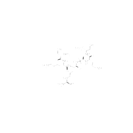 CSCC[C@H](NC(=O)C(C)(C)NC(=O)[C@H](CCCNC(=N)N)NC(=O)[C@H](CCCCN)NC(=O)[C@@H](N)CS)C(=O)N[C@@H](CS)C(=O)O